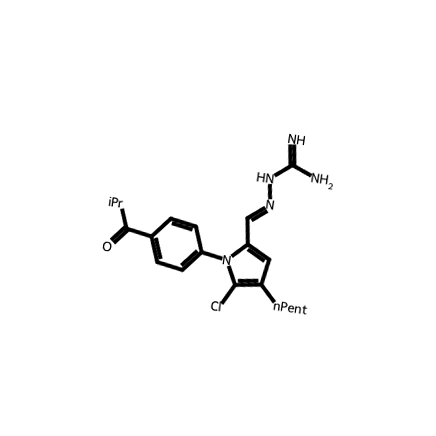 CCCCCc1cc(C=NNC(=N)N)n(-c2ccc(C(=O)C(C)C)cc2)c1Cl